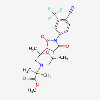 COC(=O)C(C)(C)N1CC2(C)OC(C)(C1)C1C(=O)N(c3ccc(C#N)c(C(F)(F)F)c3)C(=O)C12